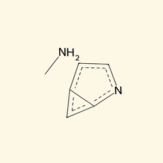 CN.c1cc2cc-2n1